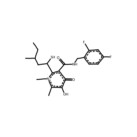 CCC(C)CC(S)c1c(C(=O)NCc2ccc(F)cc2F)c(=O)c(O)c(C)n1C